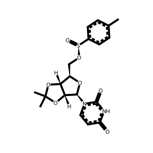 Cc1ccc([S@](=O)OC[C@H]2O[C@@H](n3ccc(=O)[nH]c3=O)[C@@H]3OC(C)(C)O[C@@H]32)cc1